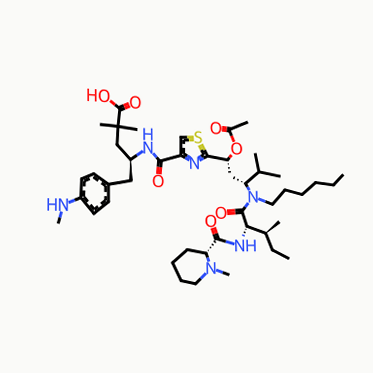 CCCCCCN(C(=O)[C@@H](NC(=O)[C@H]1CCCCN1C)[C@@H](C)CC)[C@H](C[C@@H](OC(C)=O)c1nc(C(=O)N[C@@H](Cc2ccc(NC)cc2)CC(C)(C)C(=O)O)cs1)C(C)C